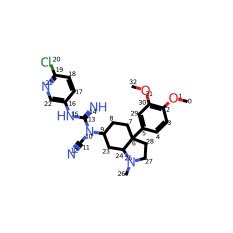 COc1ccc(C23CCC(N(C#N)C(=N)Nc4ccc(Cl)nc4)CC2N(C)CC3)cc1OC